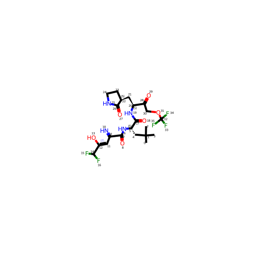 CC(C)(C)C[C@H](NC(=O)C(=N)/C=C(\O)C(F)F)C(=O)N[C@@H](C[C@@H]1CCNC1=O)C(=O)COC(F)(F)F